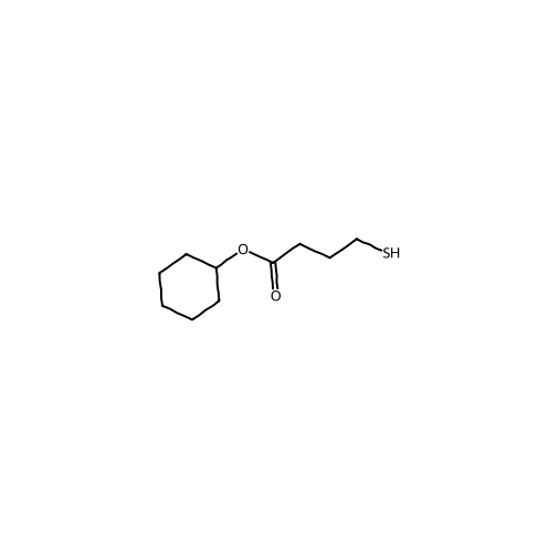 O=C(CCCS)OC1CCCCC1